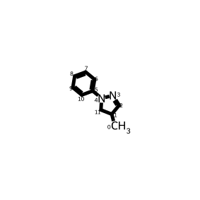 CC1C=NN(c2ccccc2)C1